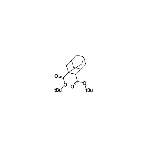 CC(C)(C)OC(=O)C1C2CC3CC(C2)CC1(C(=O)OC(C)(C)C)C3